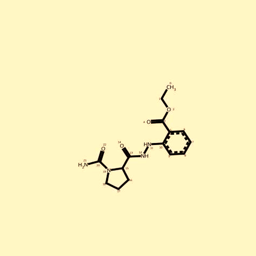 CCOC(=O)c1ccccc1NNC(=O)C1CCCN1C(N)=O